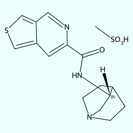 CS(=O)(=O)O.O=C(N[C@H]1CN2CCC1CC2)c1cc2cscc2cn1